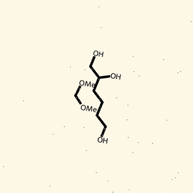 COCOC.OCCCCC(O)CO